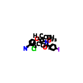 CON(C(=O)c1ccc(I)cc1)C1C(C)(C)C(Oc2ccc(C#N)c(Cl)c2)C1(C)C